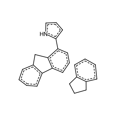 c1c[nH]c(-c2cccc3c2Cc2ccccc2-3)c1.c1ccc2c(c1)CCC2